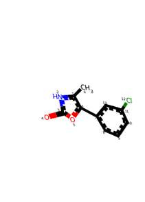 Cc1[nH]c(=O)oc1-c1cccc(Cl)c1